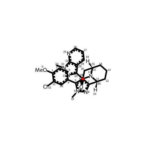 COc1ccc(-c2c3c(nn2C)[C@H]2CCC[C@@H](C3)N2C(=O)c2nn(C)c3ncccc23)cc1Cl